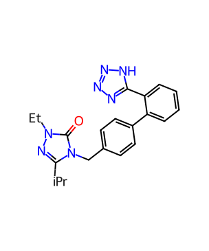 CCn1nc(C(C)C)n(Cc2ccc(-c3ccccc3-c3nnn[nH]3)cc2)c1=O